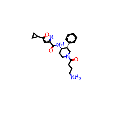 NCCCC(=O)N1CC[C@H](NC(=O)c2cc(C3CC3)on2)[C@H](c2ccccc2)C1